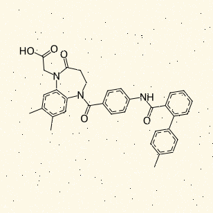 Cc1ccc(-c2ccccc2C(=O)Nc2ccc(C(=O)N3CCC(=O)N(CC(=O)O)c4cc(C)c(C)cc43)cc2)cc1